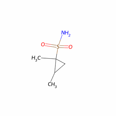 CC1CC1(C)S(N)(=O)=O